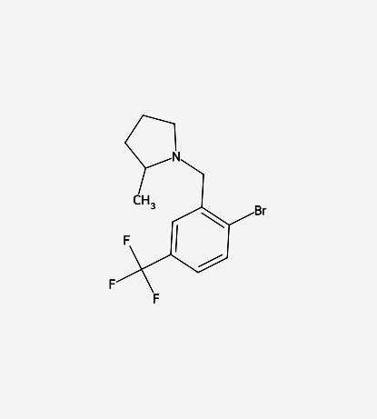 CC1CCCN1Cc1cc(C(F)(F)F)ccc1Br